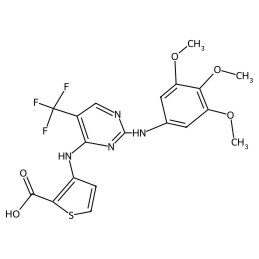 COc1cc(Nc2ncc(C(F)(F)F)c(Nc3ccsc3C(=O)O)n2)cc(OC)c1OC